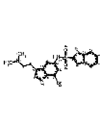 CN(C)CCc1c[nH]c2c(Br)cc(NS(=O)(=O)c3cc4ccccc4o3)cc12